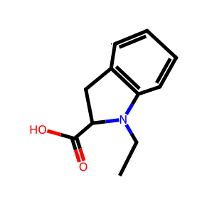 CCN1c2ccc[c]c2CC1C(=O)O